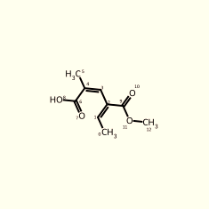 CC=C(C=C(C)C(=O)O)C(=O)OC